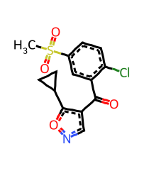 CS(=O)(=O)c1ccc(Cl)c(C(=O)c2cnoc2C2CC2)c1